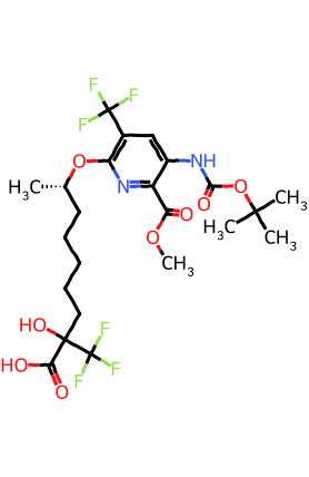 COC(=O)c1nc(O[C@@H](C)CCCCCC(O)(C(=O)O)C(F)(F)F)c(C(F)(F)F)cc1NC(=O)OC(C)(C)C